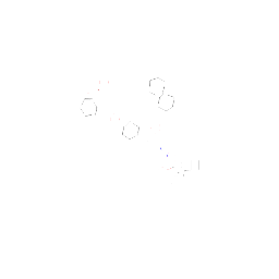 CC(C)(C)C(=O)ON1CCC(c2ccc(OCCCC3(c4ccccc4)OCCO3)cc2)C(OCc2ccc3ccccc3c2)C1